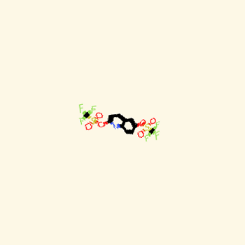 O=S(=O)(Oc1ccc2nc(OS(=O)(=O)C(F)(F)F)ccc2c1)C(F)(F)F